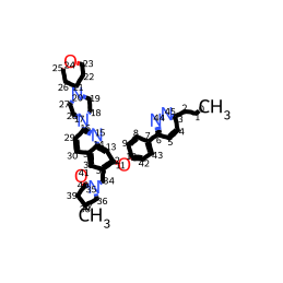 CCCc1ccc(-c2ccc(Oc3cc4nc(N5CCN(C6CCOCC6)CC5)ccc4cc3CN3C[C@@H](C)CC3=O)cc2)nn1